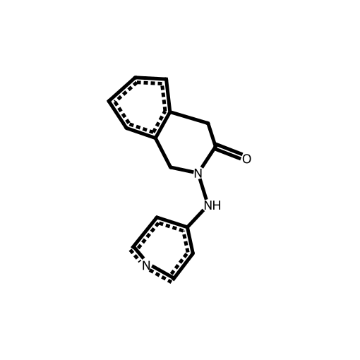 O=C1Cc2ccccc2CN1Nc1ccncc1